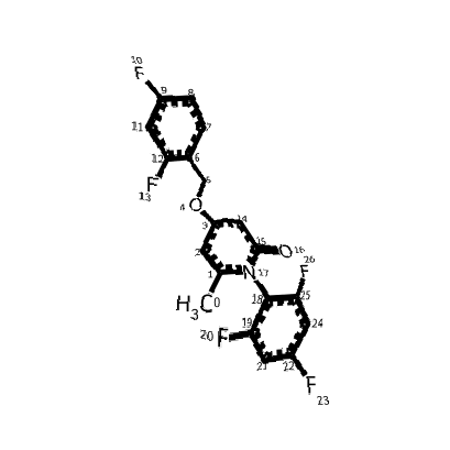 Cc1cc(OCc2ccc(F)cc2F)cc(=O)n1-c1c(F)cc(F)cc1F